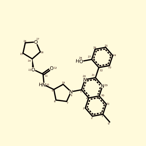 Cc1ccc2c(N3CCC(NC(=O)O[C@H]4CCOC4)C3)nc(-c3ccccc3O)nc2c1